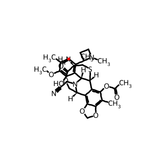 COc1c(C)cc(C2(C)CCN2C)c([C@@H]2[C@@H]3SC[C@H](N)C(=O)OC[C@@H](c4c5c(c(C)c(OC(C)=O)c43)OCO5)N2CC#N)c1O